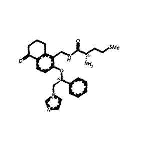 CSCC[C@H](N)C(=O)NCc1c(O[C@H](Cn2ccnc2)c2ccccc2)ccc2c1CCCC2=O